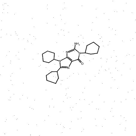 Nc1nc2c(nc(C3CCCCC3)n2C2CCCCC2)c(=O)n1C1CCCCC1